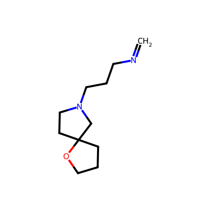 C=NCCCN1CCC2(CCCO2)C1